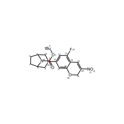 CC(C)(C)OC(=O)N1C2CCC1CN(c1cc(F)c3c(c1)OCC([N+](=O)[O-])=C3)C2